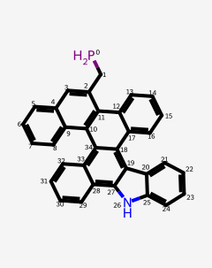 PCc1cc2ccccc2c2c1c1ccccc1c1c3c4ccccc4[nH]c3c3ccccc3c21